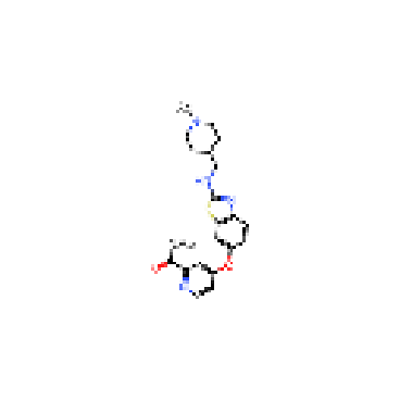 CNC(=O)c1cc(Oc2ccc3nc(NCC4CCN(C(C)=O)CC4)sc3c2)ccn1